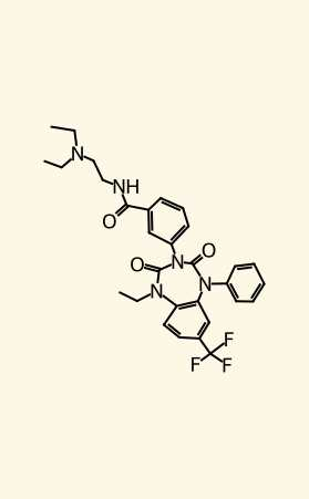 CCN(CC)CCNC(=O)c1cccc(N2C(=O)N(CC)c3ccc(C(F)(F)F)cc3N(c3ccccc3)C2=O)c1